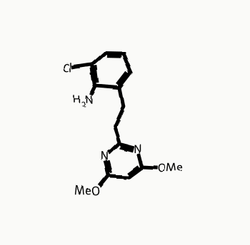 COc1cc(OC)nc(CCc2cccc(Cl)c2N)n1